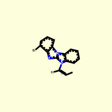 C/C=C(/CC)n1c2ccccc2n2c3cccc(CC)c3nc12